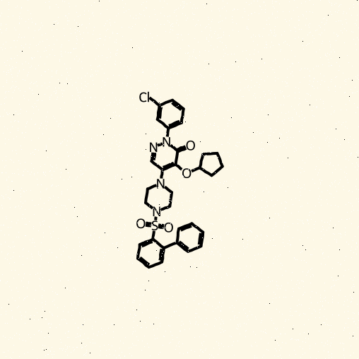 O=c1c(OC2CCCC2)c(N2CCN(S(=O)(=O)c3ccccc3-c3ccccc3)CC2)cnn1-c1cccc(Cl)c1